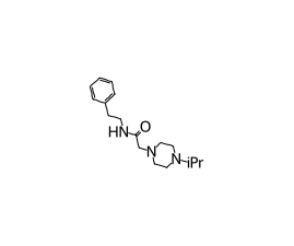 CC(C)N1CCN(CC(=O)NCCc2ccccc2)CC1